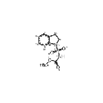 CC(C)(C)OC(=O)NS(=O)(=O)N1CCc2cccnc21